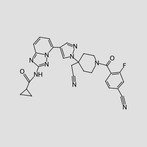 N#CCC1(n2cc(-c3cccc4nc(NC(=O)C5CC5)nn34)cn2)CCN(C(=O)c2ccc(C#N)cc2F)CC1